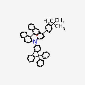 CC(C)(C)c1ccc(-c2ccc(N(c3ccc4c(c3)-c3ccccc3C4(c3ccccc3)c3ccccc3)c3ccc4ccccc4c3-c3cccc4ccccc34)cc2)cc1